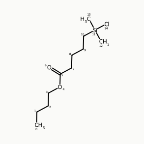 CCCCOC(=O)CCCC[Si](C)(C)Cl